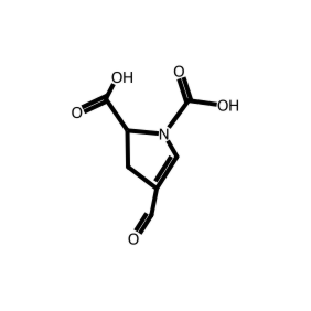 O=CC1=CN(C(=O)O)C(C(=O)O)C1